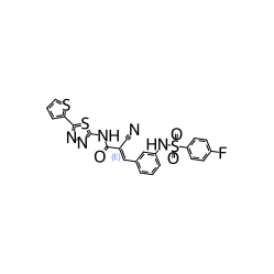 N#C/C(=C\c1cccc(NS(=O)(=O)c2ccc(F)cc2)c1)C(=O)Nc1nnc(-c2cccs2)s1